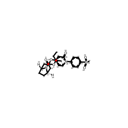 CCC(C)OC(=O)N1[C@@H]2CC[C@@H]1CC(Oc1ccn(-c3ccc(S(C)(=O)=O)cc3)c(=O)c1)C2